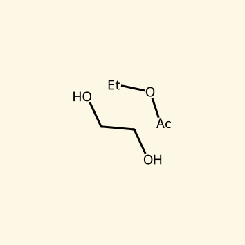 CCOC(C)=O.OCCO